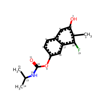 Cc1c(O)cc2ccc(OC(=O)NC(C)C)cc2c1F